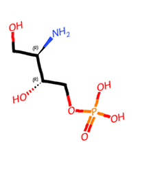 N[C@H](CO)[C@@H](O)COP(=O)(O)O